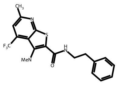 CNc1c(C(=O)NCCc2ccccc2)sc2nc(C)cc(C(F)(F)F)c12